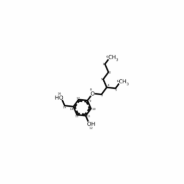 CCCCC(CC)COc1cc(O)cc(CO)c1